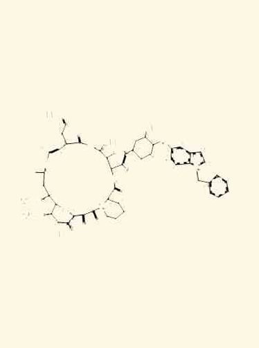 C=CCC1/C=C(\C)CC(C)CC(OC)C2OC(O)(C(=O)C(=O)N3CCCCC3C(=O)OC(C(C)=CC3CCC(Oc4ccc5c(ccn5Cc5ccccc5)c4)C(O)C3)C(C)C(O)CC1=O)C(C)CC2OC